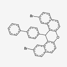 Brc1ccc2ccc3c(c2c1)C(c1ccc(-c2ccccc2)cc1)c1c(ccc2ccc(Br)cc12)O3